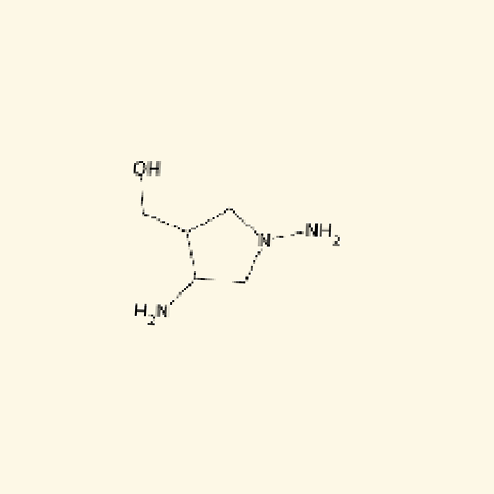 NC1CN(N)CC1CO